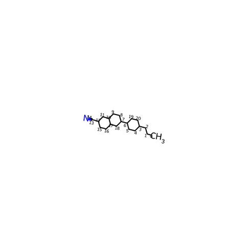 CCCC1CCC(C2CCC3CC(C#N)CCC3C2)CC1